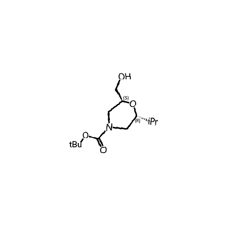 CC(C)[C@@H]1CN(C(=O)OC(C)(C)C)C[C@@H](CO)O1